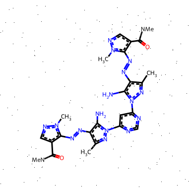 CNC(=O)c1cnn(C)c1/N=N/c1c(C)nn(-c2cc(-n3nc(C)c(/N=N/c4c(C(=O)NC)cnn4C)c3N)ncn2)c1N